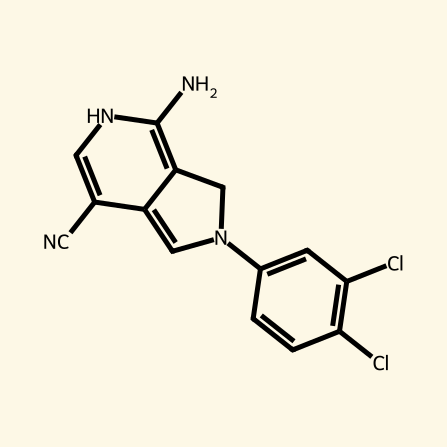 N#CC1=CNC(N)=C2CN(c3ccc(Cl)c(Cl)c3)C=C12